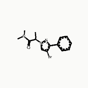 CC(C(=O)N(C)C)n1cc(Br)c(-c2ccccc2)n1